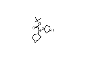 CC(C)(C)OC(=O)N(C1CCOCC1)[C@H]1CCNC1